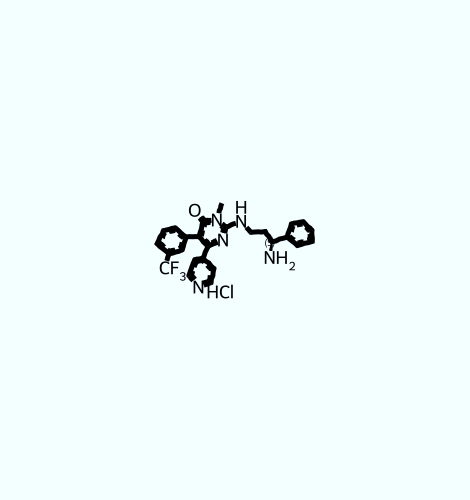 Cl.Cn1c(NCC[C@H](N)c2ccccc2)nc(-c2ccncc2)c(-c2cccc(C(F)(F)F)c2)c1=O